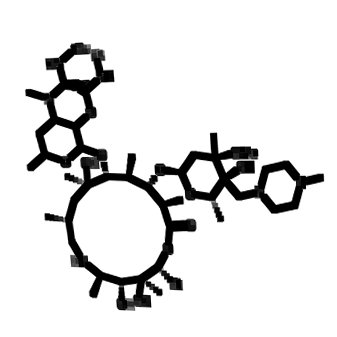 CCNC(=O)OC1C(O[C@@H]2[C@@H](C)[C@H](O[C@H]3C[C@@](C)(OC)[C@](O)(CN4CCN(C)CC4)[C@H](C)O3)[C@@H](C)C(=O)O[C@H](CC)[C@@](C)(O)[C@H](O)[C@@H](C)NC[C@H](C)C[C@@]2(C)O)OC(C)CC1N(C)C(=O)NC(C)(C)C